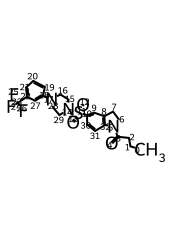 CCCC(=O)N1CCc2cc(S(=O)(=O)N3CCN(c4cccc(C(F)(F)F)c4)CC3)ccc21